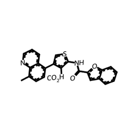 Cc1ccc(-c2csc(NC(=O)c3cc4ccccc4o3)c2C(=O)O)c2cccnc12